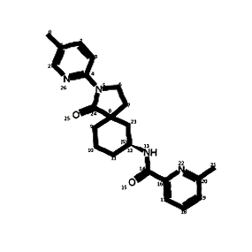 Cc1ccc(N2CCC3(CCC[C@H](NC(=O)c4cccc(C)n4)C3)C2=O)nc1